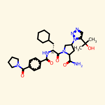 CC(C)(O)c1cnnn1C1CC(C(N)=O)N(C(=O)[C@@H](CC2CCCCC2)NC(=O)c2ccc(C(=O)N3CCCC3)cc2)C1